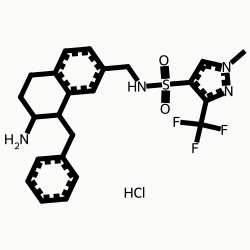 Cl.Cn1cc(S(=O)(=O)NCc2ccc3c(c2)C(Cc2ccccc2)C(N)CC3)c(C(F)(F)F)n1